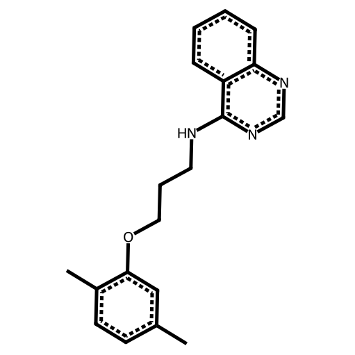 Cc1ccc(C)c(OCCCNc2ncnc3ccccc23)c1